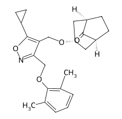 Cc1cccc(C)c1OCc1noc(C2CC2)c1CO[C@@H]1C[C@H]2CC[C@@H](C1)C2=O